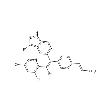 CCC(=C(c1ccc(C=CC(=O)O)cc1)c1ccc2[nH]nc(F)c2c1)c1ncc(Cl)cc1Cl